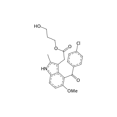 COc1ccc2[nH]c(C)c(CC(=O)OCCCO)c2c1C(=O)c1ccc(Cl)cc1